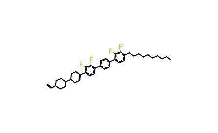 C=CC1CCC(C2CC=C(c3ccc(-c4ccc(-c5ccc(CCCCCCCCCC)c(F)c5F)cc4)c(F)c3F)CC2)CC1